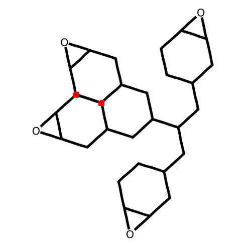 C1CC2OC2CC1CC(CC1CCC2OC2C1)C(CC1CCC2OC2C1)CC1CCC2OC2C1